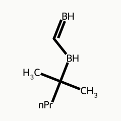 B=CBC(C)(C)CCC